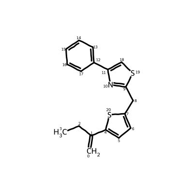 C=C(CC)c1ccc(Cc2nc(-c3ccccc3)cs2)s1